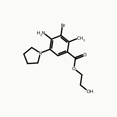 Cc1c(C(=O)OCCO)cc(N2CCCC2)c(N)c1Br